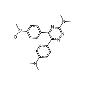 CN(C)c1ccc(-c2nnc(N(C)C)nc2-c2ccc([S+](C)[O-])cc2)cc1